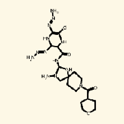 NN=NC1=C(Cl)NC(C(=O)NC2NC3(CCN(C(=O)C4CCOCC4)CC3)CN2N)C(N=NN)N1